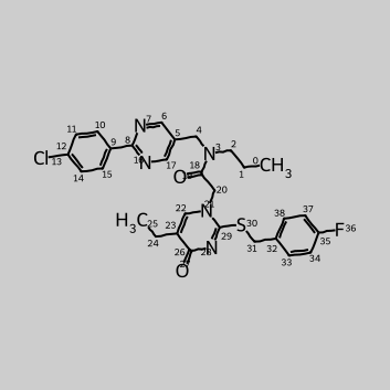 CCCN(Cc1cnc(-c2ccc(Cl)cc2)nc1)C(=O)Cn1cc(CC)c(=O)nc1SCc1ccc(F)cc1